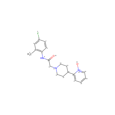 Cc1cc(F)ccc1NC(=O)CN1CCC(c2cccc[n+]2[O-])CC1